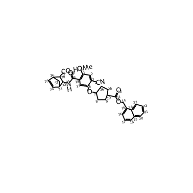 COc1cc(C#N)c(OC2CCC(C(=O)OCc3cccc4ccccc34)CC2)cc1C(=O)NC1C2C=CC(C2)C1C(=O)O